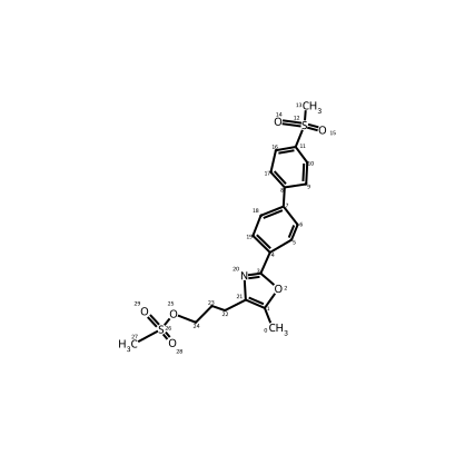 Cc1oc(-c2ccc(-c3ccc(S(C)(=O)=O)cc3)cc2)nc1CCCOS(C)(=O)=O